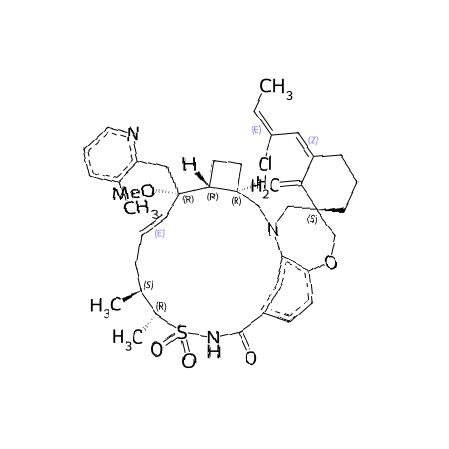 C=C1/C(=C\C(Cl)=C/C)CCC[C@]12COc1ccc3cc1N(C[C@@H]1CC[C@H]1[C@@](Cc1ncccc1C)(OC)/C=C/C[C@H](C)[C@@H](C)S(=O)(=O)NC3=O)C2